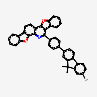 CC1(C)c2cc(C#N)ccc2-c2ccc(-c3ccc(-c4nc5c(ccc6c7ccccc7oc65)c5oc6ccccc6c45)cc3)cc21